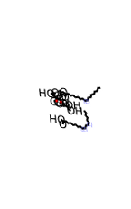 CCCCC/C=C\C/C=C\CCCCCCCC(=O)O.CCCCCCCC/C=C\CCCCCCCC(=O)OC(C)C(=O)OC(CC(=O)O)(CC(=O)OCC(O)CO)C(=O)O